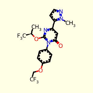 C[C@@H](Oc1nc(-c2ccnn2C)cc(=O)n1-c1ccc(OCC(F)(F)F)cc1)C(F)(F)F